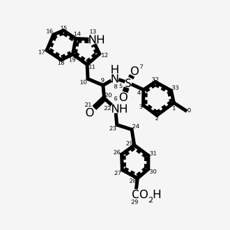 Cc1ccc(S(=O)(=O)NC(Cc2c[nH]c3ccccc23)C(=O)NCCc2ccc(C(=O)O)cc2)cc1